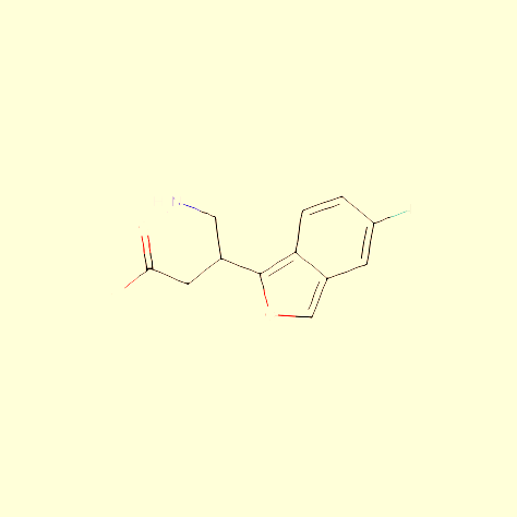 NCC(CC(=O)O)c1occ2cc(F)ccc12